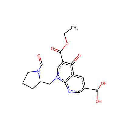 CCOC(=O)c1cn(CC2CCCN2C=O)c2ncc(B(O)O)cc2c1=O